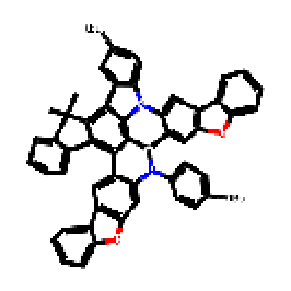 CC(C)(C)c1ccc(N2B3c4cc5oc6ccccc6c5cc4-n4c5ccc(C(C)(C)C)cc5c5c6c(c(c3c54)-c3cc4c(cc32)oc2ccccc24)-c2ccccc2C6(C)C)cc1